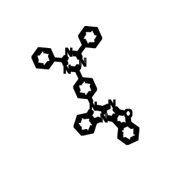 c1ccc(-c2nc(-c3ccccc3)nc(-c3ccc(-n4c5ccccc5n5c6c(nc45)oc4ccccc46)cc3)n2)cc1